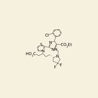 CCOC(=O)C1=C(CN2CC(F)(F)C[C@@H]2CCCCC(=O)O)NC(c2nccs2)=NC1c1ccccc1Cl